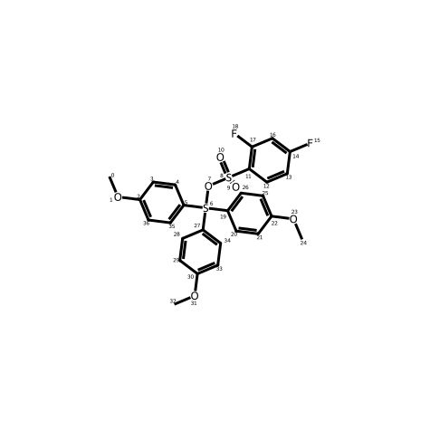 COc1ccc(S(OS(=O)(=O)c2ccc(F)cc2F)(c2ccc(OC)cc2)c2ccc(OC)cc2)cc1